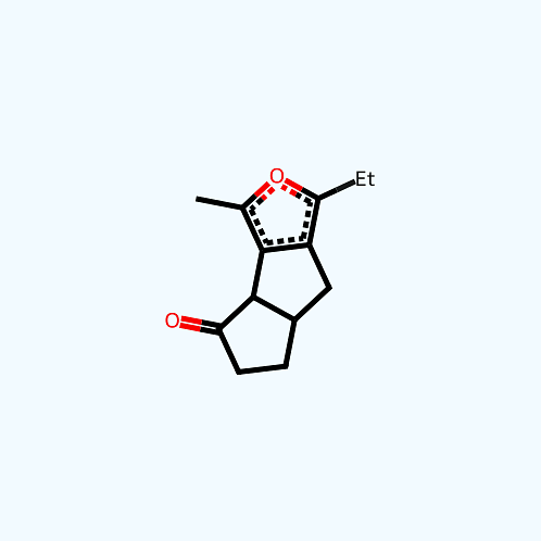 CCc1oc(C)c2c1CC1CCC(=O)C21